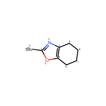 CC(C)(C)c1nc2c(o1)CCCC2